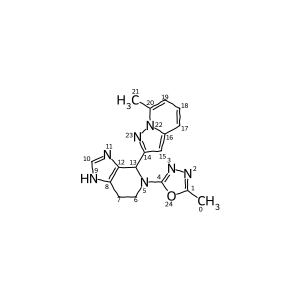 Cc1nnc(N2CCc3[nH]cnc3C2c2cc3cccc(C)n3n2)o1